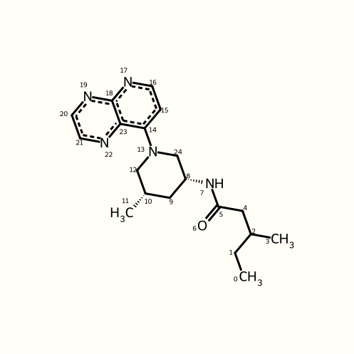 CCC(C)CC(=O)N[C@@H]1C[C@H](C)CN(c2ccnc3nccnc23)C1